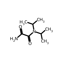 CC(C)N(C(=O)C(N)=O)C(C)C